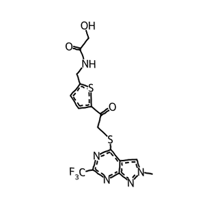 Cn1cc2c(SCC(=O)c3ccc(CNC(=O)CO)s3)nc(C(F)(F)F)nc2n1